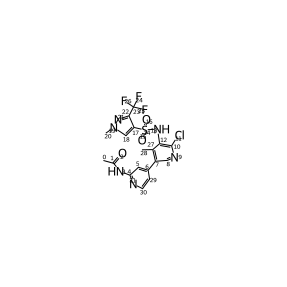 CC(=O)Nc1cc(-c2cnc(Cl)c(NS(=O)(=O)c3cn(C)nc3C(F)(F)F)c2C)ccn1